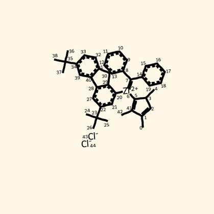 CC1=CC(C)[C]([Zr+2](=[C](c2ccccc2)c2ccccc2)[c]2cc(C(C)(C)C)cc3c2Cc2ccc(C(C)(C)C)cc2-3)=C1C.[Cl-].[Cl-]